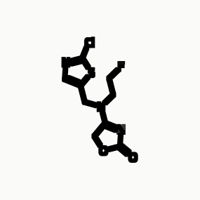 O=C1N=C(N(CCF)Cc2cnc(Cl)s2)CO1